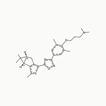 Cc1cc(-c2noc(-c3sc(C)c4c3C[C@@H]3[C@H]4C3(C)C)n2)cc(C)c1OCCCN(C)C